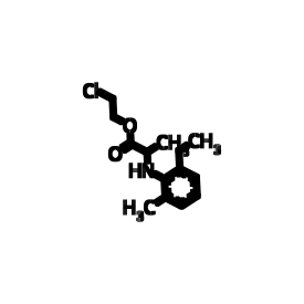 CCc1cccc(C)c1NC(C)C(=O)OCCCl